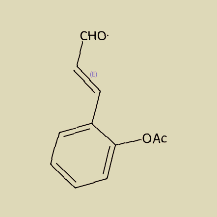 CC(=O)Oc1ccccc1/C=C/[C]=O